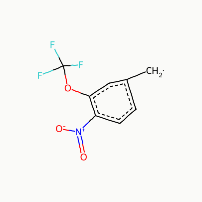 [CH2]c1ccc([N+](=O)[O-])c(OC(F)(F)F)c1